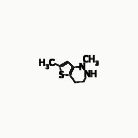 Cc1cc2c(s1)CCNN2C